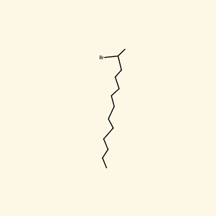 CCCCCCCCCCCC(C)Br